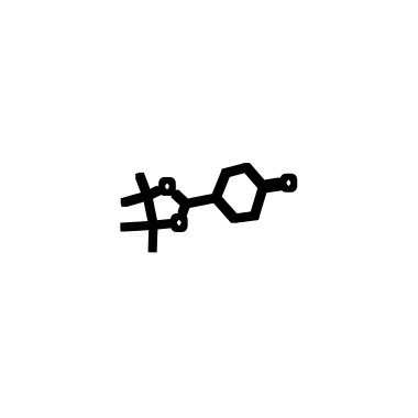 CC1(C)OC(C2CCC(=O)CC2)OC1(C)C